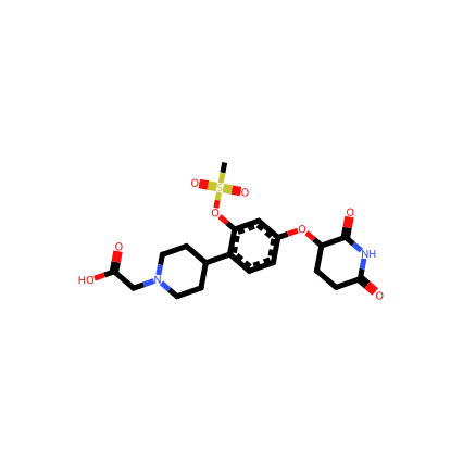 CS(=O)(=O)Oc1cc(OC2CCC(=O)NC2=O)ccc1C1CCN(CC(=O)O)CC1